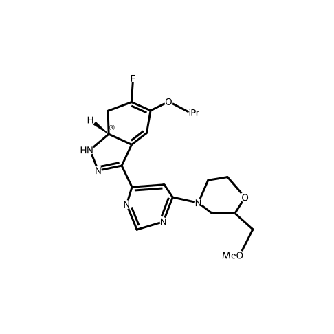 COCC1CN(c2cc(C3=NN[C@@H]4CC(F)=C(OC(C)C)C=C34)ncn2)CCO1